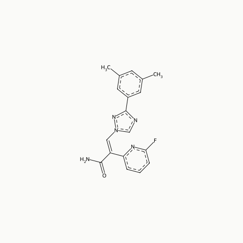 Cc1cc(C)cc(-c2ncn(/C=C(/C(N)=O)c3cccc(F)n3)n2)c1